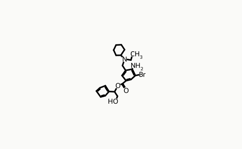 CCN(Cc1cc(C(=O)OC(CO)c2ccccc2)cc(Br)c1N)C1CCCCC1